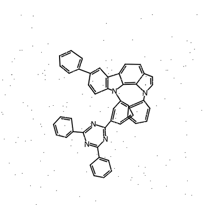 c1ccc(-c2ccc3c(c2)c2ccc4ccn(-c5ccccc5)c4c2n3-c2cccc(-c3nc(-c4ccccc4)nc(-c4ccccc4)n3)c2)cc1